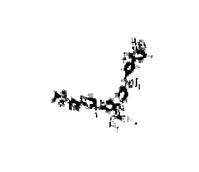 CC(C)n1nc(N2CCC(N(C)Cc3ccc(C4CCC(=O)NC4=O)c(F)c3)CC2)c2cnc(Nc3ccnc(-c4cnn(S(=O)(=O)C5CC5)c4)n3)cc21